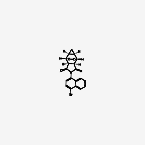 O=C1[C@@H]2[C@@H]3CC[C@@H]([C@H]4C[C@H]43)[C@@H]2C(=O)N1c1ccc(Br)c2ccccc12